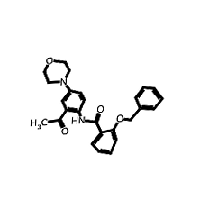 CC(=O)c1cc(N2CCOCC2)ccc1NC(=O)c1ccccc1OCc1ccccc1